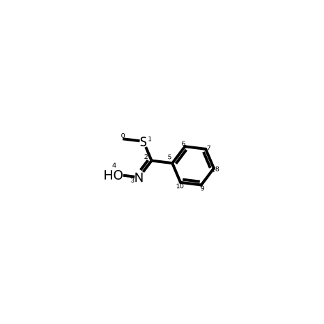 CS/C(=N\O)c1cc[c]cc1